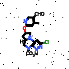 Cc1cc(O[C@@H]2C[C@@H]3CN(C(=O)O)c4nnc(Cl)cc4N3C2)ncc1C=O